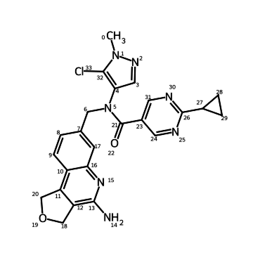 Cn1ncc(N(Cc2ccc3c4c(c(N)nc3c2)COC4)C(=O)c2cnc(C3CC3)nc2)c1Cl